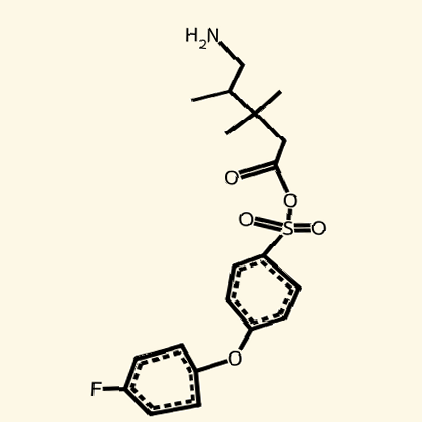 CC(CN)C(C)(C)CC(=O)OS(=O)(=O)c1ccc(Oc2ccc(F)cc2)cc1